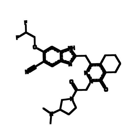 CN(C)C1CCN(C(=O)Cn2nc(Cc3nc4cc(C#N)c(OCC(F)F)cc4[nH]3)c3c(c2=O)CCCC3)C1